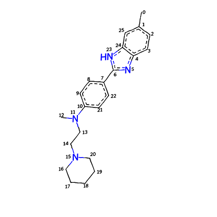 Cc1ccc2nc(-c3ccc(N(C)CCN4CCCCC4)cc3)[nH]c2c1